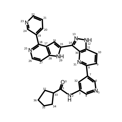 O=C(Nc1cncc(-c2ccc3[nH]nc(-c4cc5c(-c6cccnc6)nccc5[nH]4)c3n2)c1)C1CCCC1